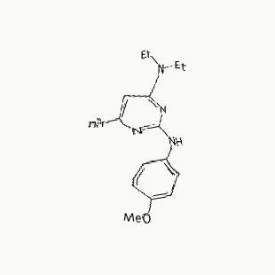 CCCc1cc(N(CC)CC)nc(Nc2ccc(OC)cc2)n1